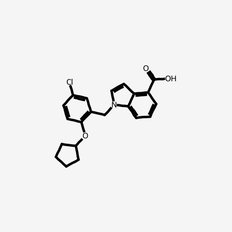 O=C(O)c1cccc2c1ccn2Cc1cc(Cl)ccc1OC1CCCC1